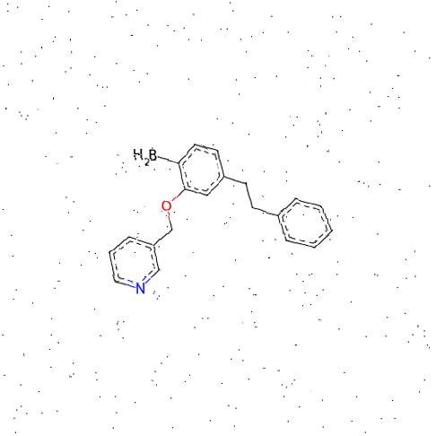 Bc1ccc(CCc2ccccc2)cc1OCc1cccnc1